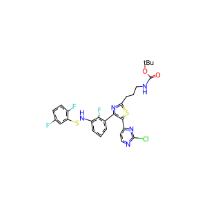 CC(C)(C)OC(=O)NCCCc1nc(-c2cccc(NSc3cc(F)ccc3F)c2F)c(-c2ccnc(Cl)n2)s1